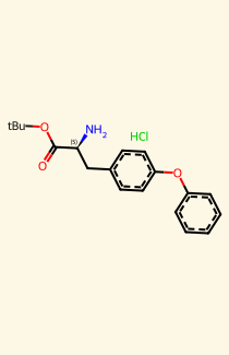 CC(C)(C)OC(=O)[C@@H](N)Cc1ccc(Oc2ccccc2)cc1.Cl